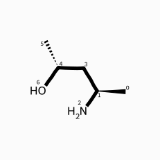 C[C@@H](N)C[C@@H](C)O